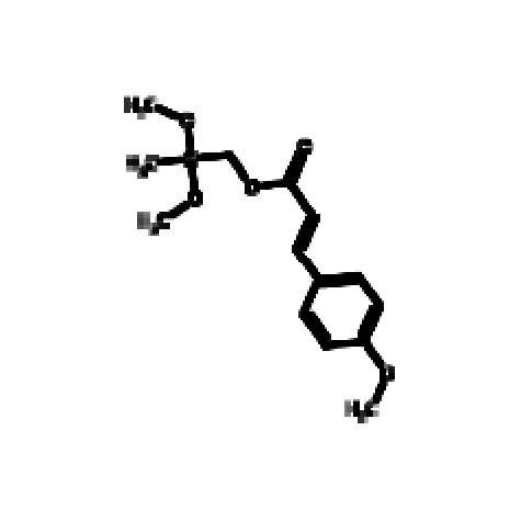 COc1ccc(/C=C/C(=O)OC[Si](C)(OC)OC)cc1